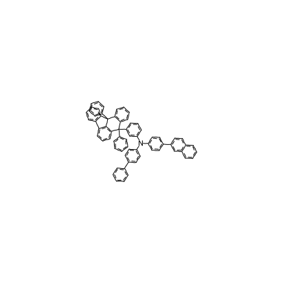 c1ccc(-c2ccc(N(c3ccc(-c4ccc5ccccc5c4)cc3)c3cccc(C4(c5ccccc5)c5ccccc5C5(c6ccccc6)c6ccccc6-c6cccc4c65)c3)cc2)cc1